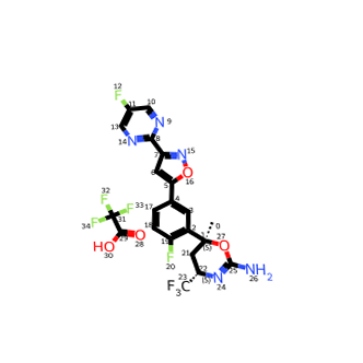 C[C@@]1(c2cc(-c3cc(-c4ncc(F)cn4)no3)ccc2F)C[C@@H](C(F)(F)F)N=C(N)O1.O=C(O)C(F)(F)F